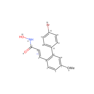 COc1ccc(/C=C/C(=O)NO)c(-c2ccc(Br)cc2)c1